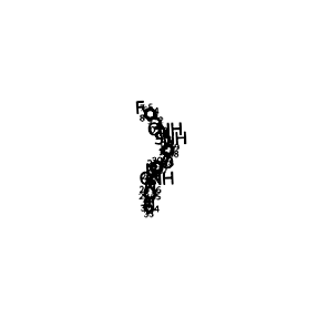 O=C(Cc1ccc(F)cc1)NC(=S)Nc1ccc(Oc2ccnc(NC(=O)N3CCC(N4CCC4)CC3)c2)cc1